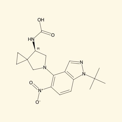 CC(C)(C)n1ncc2c(N3C[C@H](NC(=O)O)C4(CC4)C3)c([N+](=O)[O-])ccc21